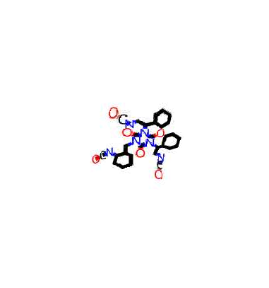 O=C=NCC(C1CCCCC1)n1c(=O)n(CC2CCCCC2N=C=O)c(=O)n(C(CN=C=O)C2CCCCC2)c1=O